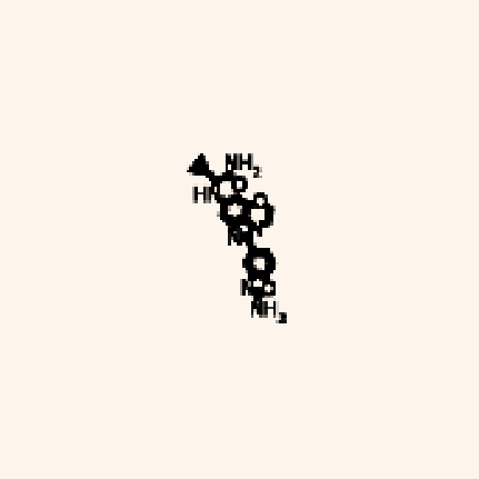 NC(=O)C(Nc1cc2c3c(c1)nc(-c1ccc4oc(N)nc4c1)n3CCO2)C1CC1